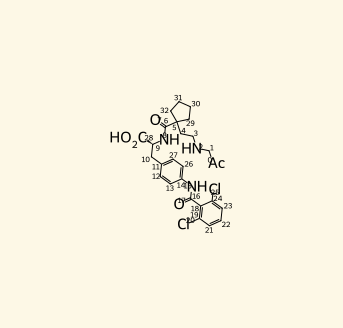 CC(=O)CNCCC1(C(=O)N[C@@H](Cc2ccc(NC(=O)c3c(Cl)cccc3Cl)cc2)C(=O)O)CCCC1